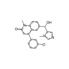 Cn1cncc1C(O)c1ccc2c(c1)c(-c1cccc(Cl)c1)cc(=O)n2C